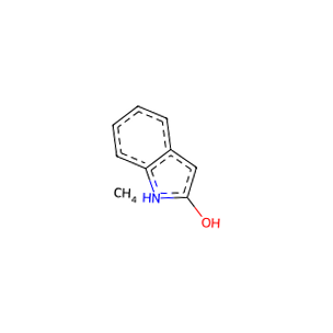 C.Oc1cc2ccccc2[nH]1